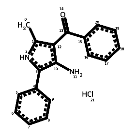 Cc1[nH]c(-c2ccccc2)c(N)c1C(=O)c1ccccc1.Cl